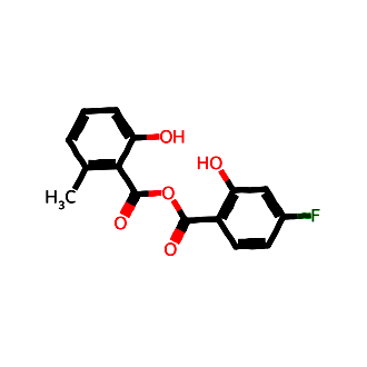 Cc1cccc(O)c1C(=O)OC(=O)c1ccc(F)cc1O